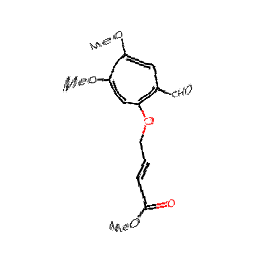 COC(=O)/C=C/COc1cc(OC)c(OC)cc1C=O